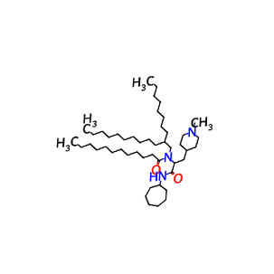 CCCCCCCCCCCC(=O)N(CC(CCCCCCCC)CCCCCCCCCC)C(CC1CCN(C)CC1)C(=O)NC1CCCCCC1